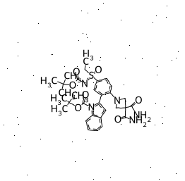 CCS(=O)(=NC(=O)OC(C)(C)C)c1ccc(N2CC(C(N)=O)(C(N)=O)C2)c(-c2cc3ccccc3n2C(=O)OC(C)(C)C)c1